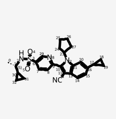 C[C@H](NS(=O)(=O)c1ccc(-c2c(C#N)c3ccc(C4CC4)cc3n2C2CCCC2)nc1)C1CC1